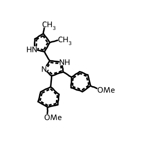 COc1ccc(-c2nc(-c3[nH]cc(C)c3C)[nH]c2-c2ccc(OC)cc2)cc1